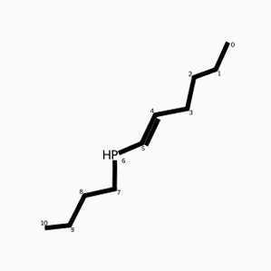 CCCCC=CPCCCC